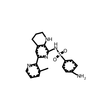 Cc1cccnc1-c1cc2c(c(NS(=O)(=O)c3ccc(N)cc3)n1)NCCC2